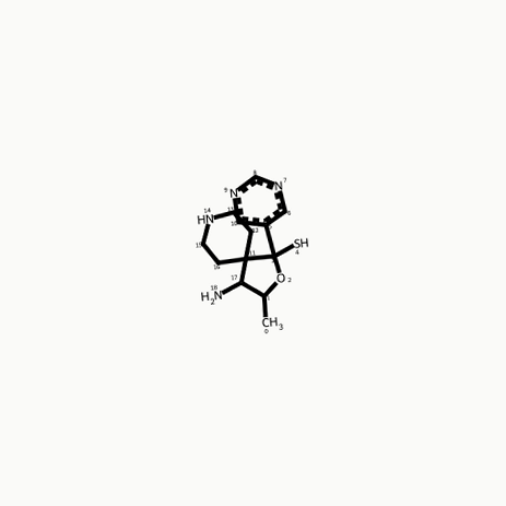 CC1OC(S)(c2cncnc2)C2(CCNCC2)C1N